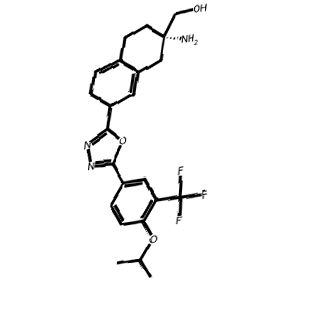 CC(C)Oc1ccc(-c2nnc(C3C=C4C[C@](N)(CO)CCC4=CC3)o2)cc1C(F)(F)F